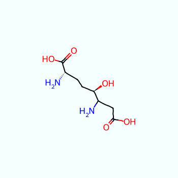 NC(CC(=O)O)[C@H](O)CC[C@H](N)C(=O)O